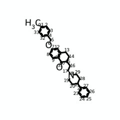 Cc1ccc(COc2ccc3c(c2)CCC(CCN2CCC(c4ccccc4)CC2)C3=O)cc1